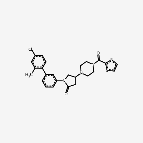 Cc1cc(Cl)ccc1-c1cccc(N2CC(N3CCN(C(=O)c4nccs4)CC3)CC2=O)c1